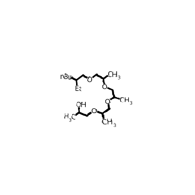 CCCCC(CC)COCC(C)OCC(C)OCC(C)OCC(C)O